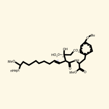 CCCCCCCC(CCCCCC/C=C/C(C(=O)NC(Cc1ccc(OC(C)CC)cc1)C(=O)OC)[C@@](O)(CC(=O)O)C(=O)O)OC